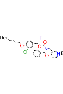 CCCCCCCCCCCCCCOc1ccc(COC(=O)N(Cc2ccc[n+](CC)c2)C(=O)c2ccccc2)cc1Cl.[I-]